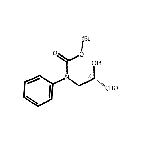 CC(C)(C)OC(=O)N(C[C@H](O)[C]=O)c1ccccc1